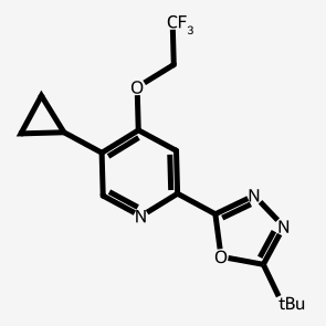 CC(C)(C)c1nnc(-c2cc(OCC(F)(F)F)c(C3CC3)cn2)o1